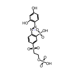 O=S(=O)(O)OCCS(=O)(=O)c1ccc(/N=N/c2ccc(O)cc2O)c(S(=O)(=O)O)c1